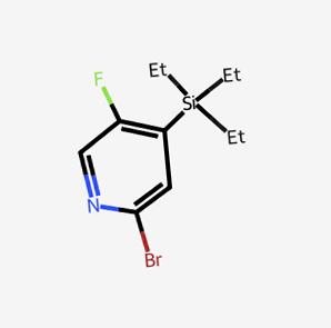 CC[Si](CC)(CC)c1cc(Br)ncc1F